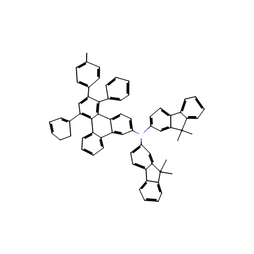 Cc1ccc(-c2cc(C3=CC=CCC3)c3c4ccccc4c4cc(N(c5ccc6c(c5)C(C)(C)c5ccccc5-6)c5ccc6c(c5)C(C)(C)c5ccccc5-6)ccc4c3c2-c2ccccc2)cc1